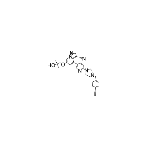 C#Cc1ccc(CN2CCN(c3ccc(-c4cc(OCC(C)(C)O)cn5ncc(C#N)c45)cn3)CC2)cc1